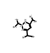 BrC(Br)C1=CC(C(Br)Br)=NN(C(Br)Br)N1